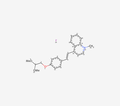 COC(COc1ccc(C=Cc2cc[n+](C)c3ccccc23)cc1)OC.[I-]